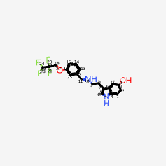 Oc1ccc2[nH]cc(CCNCc3cccc(OCC(F)(F)C(F)F)c3)c2c1